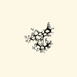 CC(C)(C)C[C@H](NC(=O)[C@@H](NC(=O)C(F)(F)F)C(C)(C)C)C(=O)N1C[C@]2(C[C@H]1N)C(=O)Nc1ccc(F)cc12